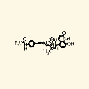 CN(CCCC#Cc1ccc(NC(=O)C(F)(F)F)cc1)CC(O[Si](C)(C)C(C)(C)C)c1ccc(O)c2[nH]c(=O)ccc12